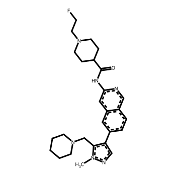 Cn1ncc(-c2ccc3cnc(NC(=O)C4CCN(CCF)CC4)cc3c2)c1CN1CCCCC1